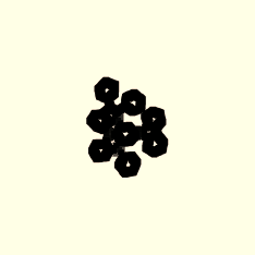 c1ccc(-c2c(-c3ccccc3)n3c4c(cccc24)B2c4ccccc4N(c4ccccc4)c4cc(-n5c6ccccc6c6ccccc65)cc-3c42)cc1